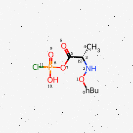 CCCCON[C@@H](C)C(=O)OP(=O)(O)Cl